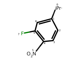 C[C](C)c1ccc([N+](=O)[O-])c(F)c1